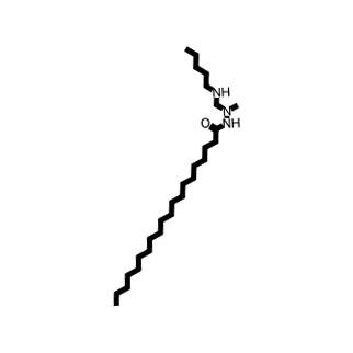 CCCCCCCCCCCCCCCCCCCC(=O)NN(C)CNCCCCC